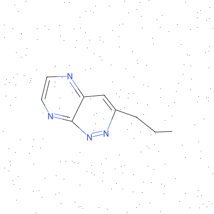 CCCc1cc2nccnc2nn1